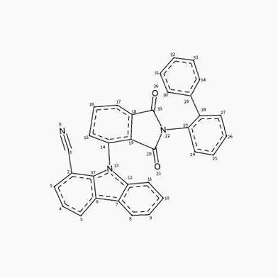 N#Cc1cccc2c3ccccc3n(-c3cccc4c3C(=O)N(c3ccccc3-c3ccccc3)C4=O)c12